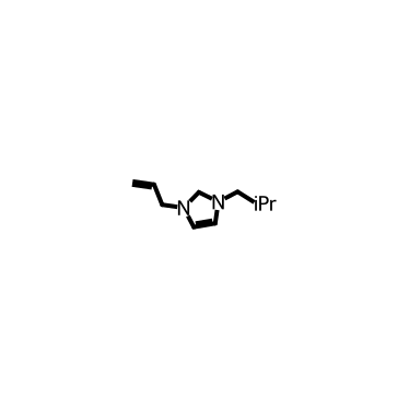 C=CCN1C=CN(CC(C)C)C1